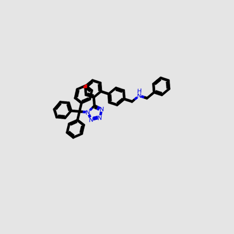 c1ccc(CNCc2ccc(-c3ccccc3-c3nnnn3C(c3ccccc3)(c3ccccc3)c3ccccc3)cc2)cc1